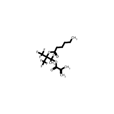 C=C(C)C(=O)OC(C)(C)C(OC(=O)CCCCC)(C(F)(F)F)C(F)(F)F